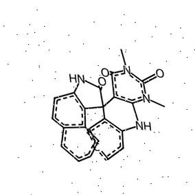 Cn1c2c(c(=O)n(C)c1=O)C1(C(=O)Nc3ccc4ccccc4c31)c1ccccc1N2